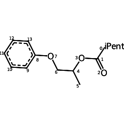 CCCC(C)C(=O)OC(C)COc1ccccc1